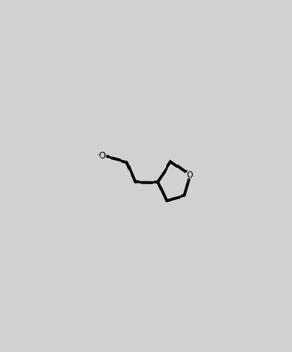 [O]CCC1CCOC1